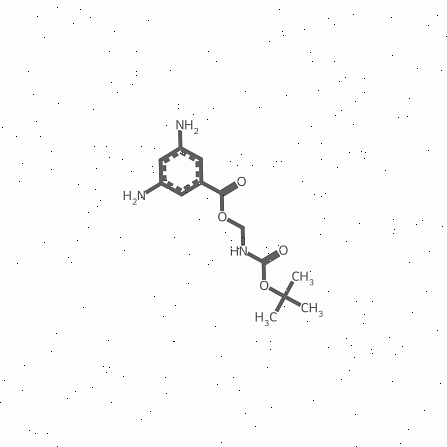 CC(C)(C)OC(=O)NCOC(=O)c1cc(N)cc(N)c1